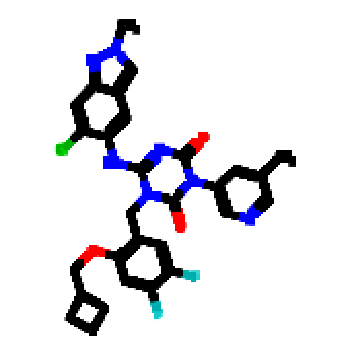 Cc1cncc(-n2c(=O)nc(Nc3cc4cn(C)nc4cc3Cl)n(Cc3cc(F)c(F)cc3OCC3CCC3)c2=O)c1